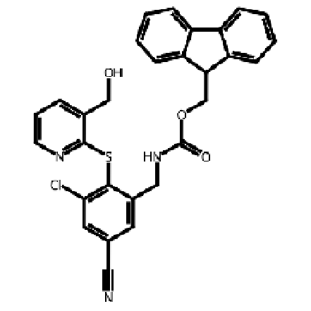 N#Cc1cc(Cl)c(Sc2ncccc2CO)c(CNC(=O)OCC2c3ccccc3-c3ccccc32)c1